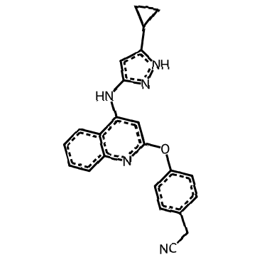 N#CCc1ccc(Oc2cc(Nc3cc(C4CC4)[nH]n3)c3ccccc3n2)cc1